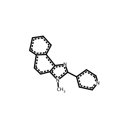 Cn1c(-c2ccncc2)nc2c3ccccc3ccc21